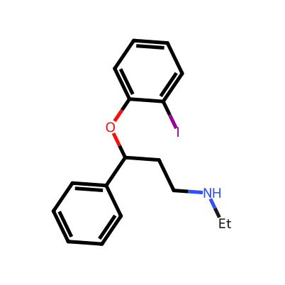 CCNCCC(Oc1ccccc1I)c1ccccc1